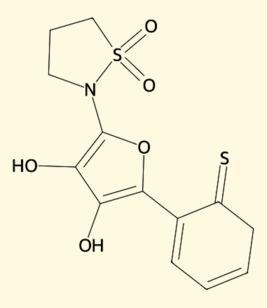 O=S1(=O)CCCN1c1oc(C2=CC=CCC2=S)c(O)c1O